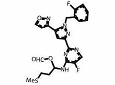 CSCCC(Nc1nc(-c2cc(-c3ccon3)n(Cc3ccccc3F)n2)ncc1F)OC=O